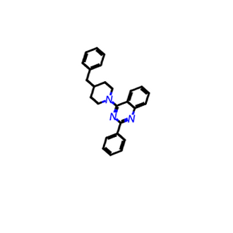 c1ccc(CC2CCN(c3nc(-c4ccccc4)nc4ccccc34)CC2)cc1